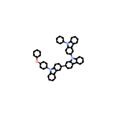 c1ccc(Oc2ccc(-n3c4ccccc4c4cc(-c5ccc6c7ccccc7n(-c7ccc8c(c7)c7ccccc7n8-c7ccccc7)c6c5)ccc43)cc2)cc1